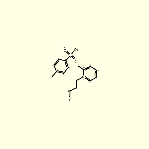 Cc1ccc(S(=O)(=O)[O-])cc1.Cc1cccc[n+]1CCCBr